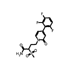 CS(=O)(=O)C(CCn1ccc(-c2c(F)ccc(F)c2F)cc1=O)C(N)=O